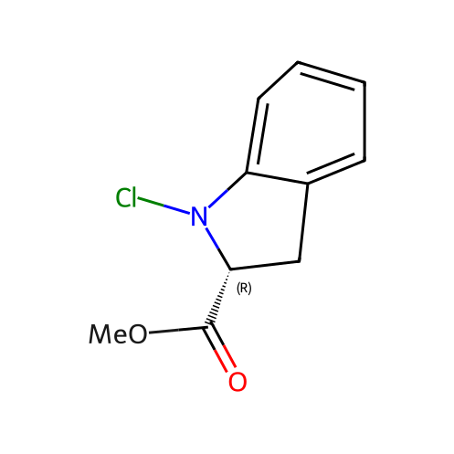 COC(=O)[C@H]1Cc2ccccc2N1Cl